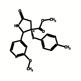 COC(=O)[C@@]1(Sc2ccc(C)cc2)CC(=O)NC1c1ccnc(OC)c1